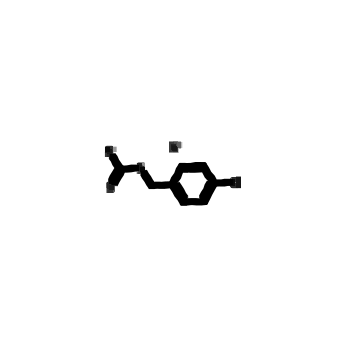 S=C([S-])SCc1ccc(Cl)cc1.[K+]